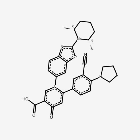 C[C@@H]1CCC[C@H](C)N1c1nc2ccc(-n3cc(C(=O)O)c(=O)cc3-c3ccc(N4CCCC4)c(C#N)c3)cc2o1